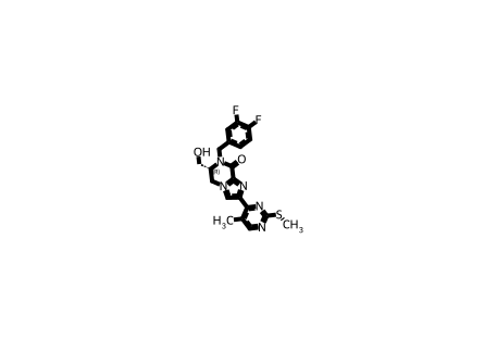 CSc1ncc(C)c(-c2cn3c(n2)C(=O)N(Cc2ccc(F)c(F)c2)[C@@H](CO)C3)n1